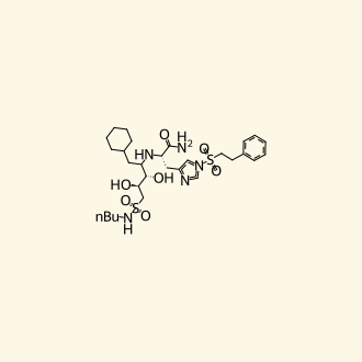 CCCCNS(=O)(=O)C[C@@H](O)[C@@H](O)C(CC1CCCCC1)N[C@@H](Cc1cn(S(=O)(=O)CCc2ccccc2)cn1)C(N)=O